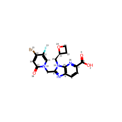 O=C(O)c1ccc2nc(Cn3cc(F)c(Br)cc3=O)n(C[C@@H]3CCO3)c2n1